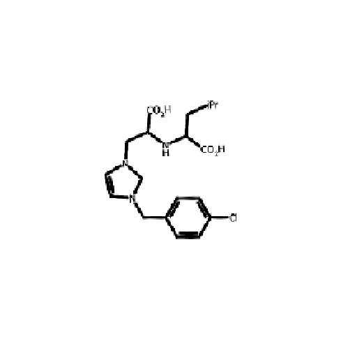 CC(C)CC(NC(CN1C=CN(Cc2ccc(Cl)cc2)C1)C(=O)O)C(=O)O